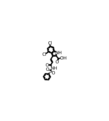 O=C(/C=C/c1c(C(=O)O)[nH]c2cc(Cl)cc(Cl)c12)NS(=O)(=O)c1ccccc1